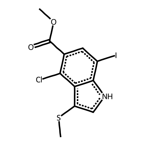 COC(=O)c1cc(I)c2[nH]cc(SC)c2c1Cl